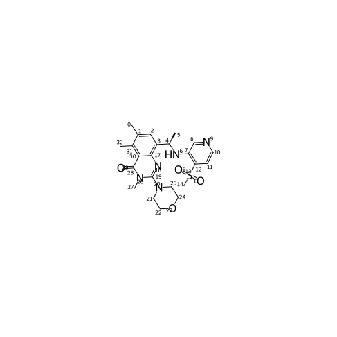 Cc1cc([C@@H](C)Nc2cnccc2S(C)(=O)=O)c2nc(N3CCOCC3)n(C)c(=O)c2c1C